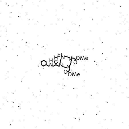 CCN1CCN(CC(=O)OC)CCN(CC(=O)OC)CCN(CC(O)CNCC2CCCCC2)CC1